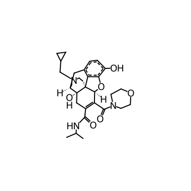 CC(C)NC(=O)C1=C(C(=O)N2CCOCC2)[C@@H]2Oc3c(O)ccc4c3[C@@]23CCN(CC2CC2)[C@H](C4)[C@]3(O)C1